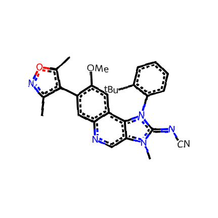 COc1cc2c(cc1-c1c(C)noc1C)ncc1c2n(-c2ccccc2C(C)(C)C)c(=NC#N)n1C